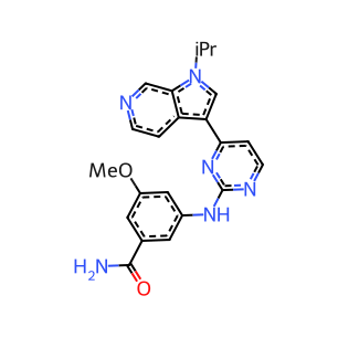 COc1cc(Nc2nccc(-c3cn(C(C)C)c4cnccc34)n2)cc(C(N)=O)c1